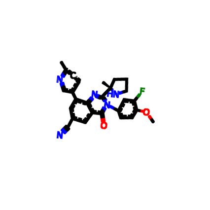 COc1ccc(-n2c([C@]3(C)CCCN3)nc3c(-c4ccc(C)nc4)cc(C#N)cc3c2=O)cc1F